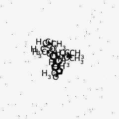 CC(C)[Si](O[C@@H]1C=C2N(C(=O)OC(C)(C)C)C[C@@H]3[C@H](CC[C@]4(C)C(=O)CC[C@@H]34)[C@@]2(C)CC1)(C(C)C)C(C)C